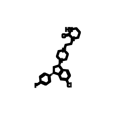 O=C1NCCCN1CCN1CCN([C@@H]2C[C@@H](c3ccc(F)cc3)c3cc(Cl)ccc32)CC1